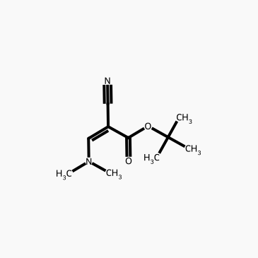 CN(C)C=C(C#N)C(=O)OC(C)(C)C